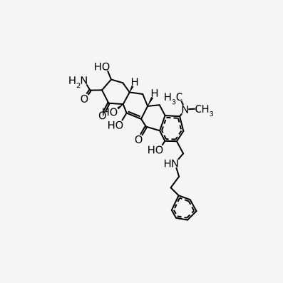 CN(C)c1cc(CNCCc2ccccc2)c(O)c2c1C[C@H]1C[C@H]3CC(O)C(C(N)=O)C(=O)[C@@]3(O)C(O)=C1C2=O